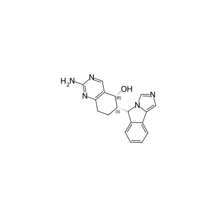 Nc1ncc2c(n1)CC[C@@H](C1c3ccccc3-c3cncn31)[C@H]2O